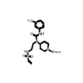 C=CS(=O)(=O)NCCN(C(=O)Nc1cccc(C(F)(F)F)c1)C1CCN(C(C)CCC)CC1